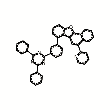 c1ccc(-c2nc(-c3ccccc3)nc(-c3cccc(-c4cccc5oc6c7ccccc7c(-c7ccccn7)cc6c45)c3)n2)cc1